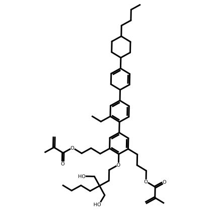 C=C(C)C(=O)OCCCc1cc(-c2ccc(C3C=CC(C4CCC(CCCC)CC4)=CC3)cc2CC)cc(CCCOC(=O)C(=C)C)c1OCCC(CO)(CO)CCCC